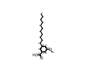 CCCCCCCCCCCc1cc(OC)cc(C(=O)O)c1